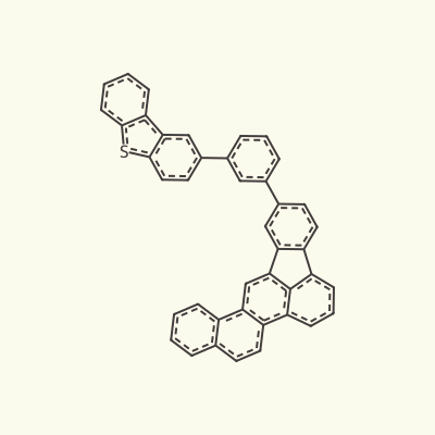 c1cc(-c2ccc3c(c2)-c2cc4c5ccccc5ccc4c4cccc-3c24)cc(-c2ccc3sc4ccccc4c3c2)c1